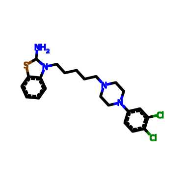 NC1Sc2ccccc2N1CCCCCN1CCN(c2ccc(Cl)c(Cl)c2)CC1